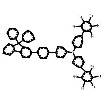 [2H]c1c([2H])c([2H])c(-c2ccc(N(c3ccc(-c4ccc(-c5ccc6c(c5)C(c5ccccc5)(c5ccccc5)c5ccccc5-6)cc4)cc3)c3ccc(-c4c([2H])c([2H])c([2H])c([2H])c4[2H])cc3)cc2)c([2H])c1[2H]